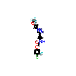 O=C(COc1ccc(Cl)c(F)c1)NC12CC(c3cn([C@H]4C[C@@H](OC(F)(F)F)C4)nn3)(C1)C2